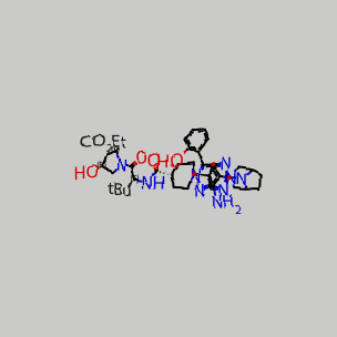 CCOC(=O)[C@@H]1C[C@@H](O)CN1C(=O)[C@@H](NC(=O)[C@H]1CC[C@H](c2cnc(N3C4CCC3CN(c3cc(-c5ccccc5O)nnc3N)C4)nc2)CC1)C(C)(C)C